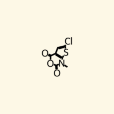 Cn1c(=O)oc(=O)c2cc(Cl)sc21